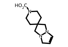 O=C(O)N1CCC2(CC1)CN1C=CCN1C2